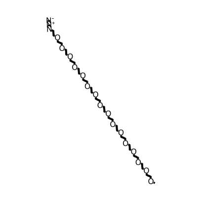 COCCOCCOCCOCCOCCOCCOCCOCCOCCOCCOCCOCCOCCOCCOCCOCCN=[N+]=[N-]